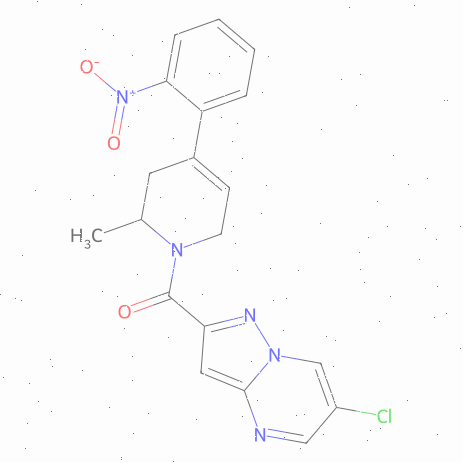 CC1CC(c2ccccc2[N+](=O)[O-])=CCN1C(=O)c1cc2ncc(Cl)cn2n1